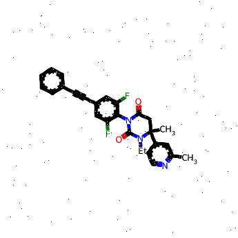 CCN1C(=O)N(c2c(F)cc(C#Cc3ccccc3)cc2F)C(=O)CC1(C)c1ccnc(C)c1